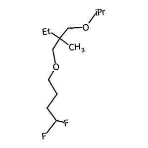 CCC(C)(COCCCC(F)F)COC(C)C